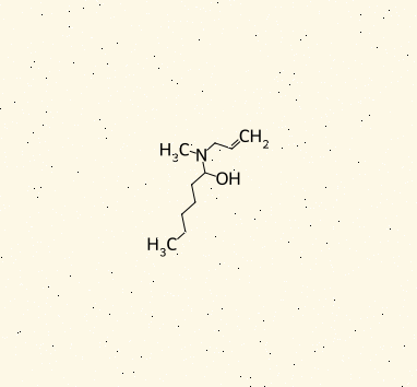 C=CCN(C)C(O)CCCCC